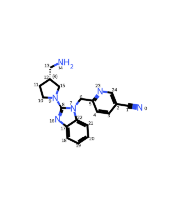 N#Cc1ccc(Cn2c(N3CC[C@H](CN)C3)nc3ccccc32)nc1